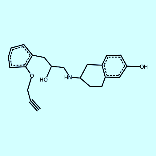 C#CCOc1ccccc1CC(O)CNC1CCc2cc(O)ccc2C1